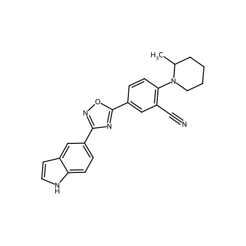 CC1CCCCN1c1ccc(-c2nc(-c3ccc4[nH]ccc4c3)no2)cc1C#N